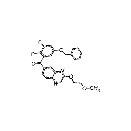 COCCOc1cnc2ccc(C(=O)c3cc(OCc4ccccc4)cc(F)c3F)cc2n1